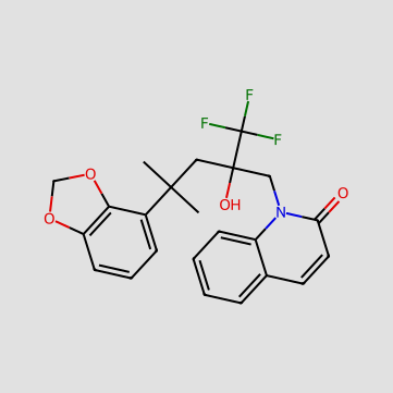 CC(C)(CC(O)(Cn1c(=O)ccc2ccccc21)C(F)(F)F)c1cccc2c1OCO2